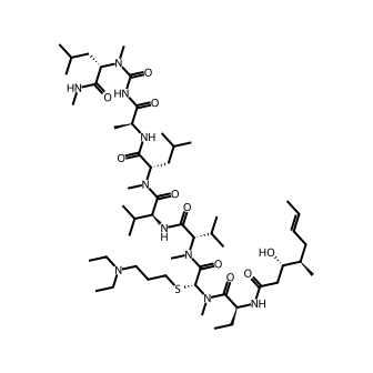 C/C=C/C[C@@H](C)[C@@H](O)CC(=O)N[C@@H](CC)C(=O)N(C)[C@H](SCCCN(CC)CC)C(=O)N(C)[C@H](C(=O)N[C@H](C(=O)N(C)[C@@H](CC(C)C)C(=O)N[C@@H](C)C(=O)NC(=O)N(C)[C@@H](CC(C)C)C(=O)NC)C(C)C)C(C)C